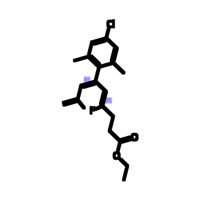 C=C(C)/C=C(\C=C(/F)CCC(=O)OCC)c1c(C)cc(Cl)cc1C